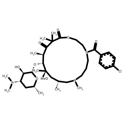 CO[C@]1(C)C[C@@H](C)CN(C)CCCN(C(=O)c2ccc(Cl)cc2)CCOC(=O)C(C)(C)C(=O)[C@H](C)[C@H]1O[C@@H]1O[C@H](C)C[C@H](N(C)C)[C@H]1O